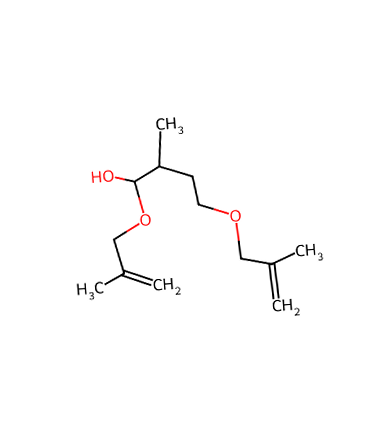 C=C(C)COCCC(C)C(O)OCC(=C)C